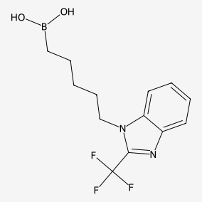 OB(O)CCCCCn1c(C(F)(F)F)nc2ccccc21